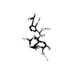 Cc1nc(N[C@H](C)c2cccc(C(F)F)c2F)c2cc(Br)c(N)nc2n1